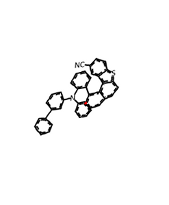 N#Cc1ccc2sc3ccc4cccc(-c5ccccc5N(c5ccccc5)c5cccc(-c6ccccc6)c5)c4c3c2c1